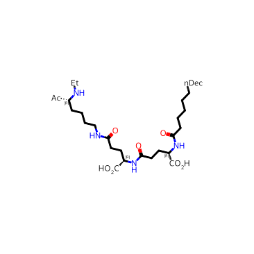 CCCCCCCCCCCCCCCC(=O)N[C@H](CCC(=O)N[C@H](CCC(=O)NCCCC[C@@H](NCC)C(C)=O)C(=O)O)C(=O)O